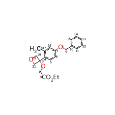 CCOC(=O)COC1(c2ccc(OCc3ccccc3)cc2C)COC1